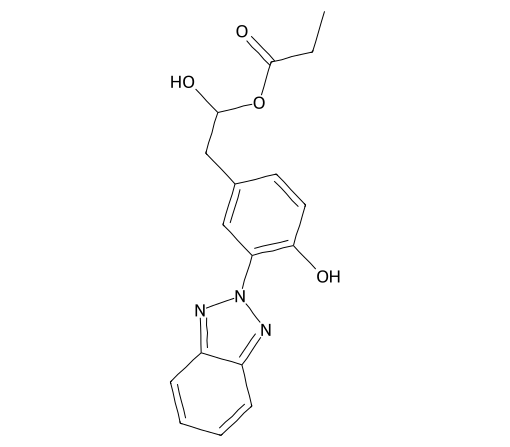 CCC(=O)OC(O)Cc1ccc(O)c(-n2nc3ccccc3n2)c1